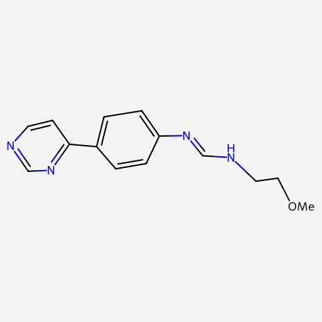 COCCNC=Nc1ccc(-c2ccncn2)cc1